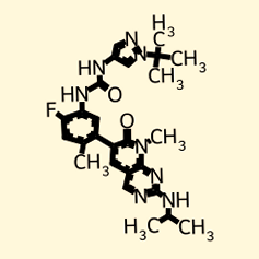 Cc1cc(F)c(NC(=O)Nc2cnn(C(C)(C)C)c2)cc1-c1cc2cnc(NC(C)C)nc2n(C)c1=O